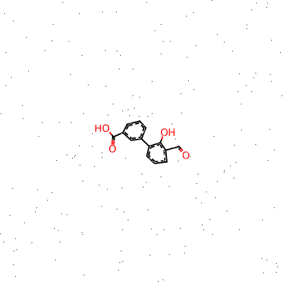 O=Cc1cccc(-c2cccc(C(=O)O)c2)c1O